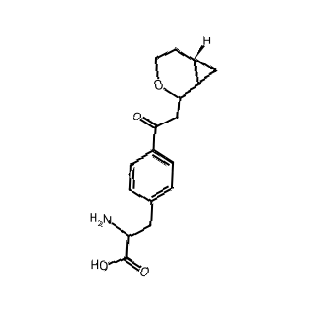 NC(Cc1ccc(C(=O)CC2OCC[C@@H]3CC23)cc1)C(=O)O